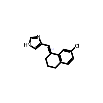 Clc1ccc2c(c1)/C(=C/c1c[nH]cn1)CCC2